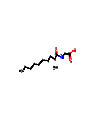 CCCCCCCCCC(=O)NCC(=O)O.[NaH]